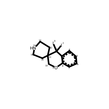 IC1(I)c2ccccc2OCC12CCNCC2